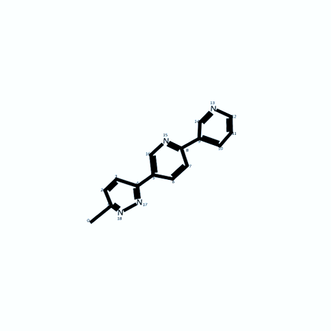 Cc1ccc(-c2ccc(-c3cccnc3)nc2)nn1